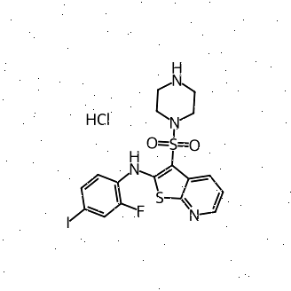 Cl.O=S(=O)(c1c(Nc2ccc(I)cc2F)sc2ncccc12)N1CCNCC1